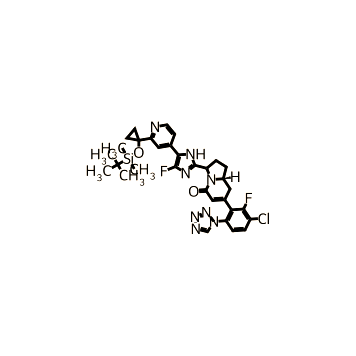 CC(C)(C)[Si](C)(C)OC1(c2cc(-c3[nH]c(C4CC[C@@H]5CC(c6c(-n7cnnn7)ccc(Cl)c6F)=CC(=O)N45)nc3F)ccn2)CC1